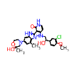 COc1ccc([C@H](O)CNc2cc[nH]c(=O)c2-c2nc3c(C)cc(N4CCO[C@](C)(O)C4)cc3[nH]2)cc1Cl